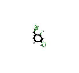 FC1C=C(Cl)CCC1CBr